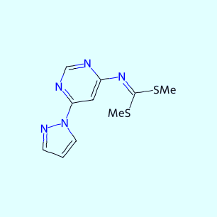 CSC(=Nc1cc(-n2cccn2)ncn1)SC